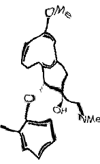 CNC[C@@]1(O)Cc2cc(OC)ccc2[C@H]1Oc1ccccc1C